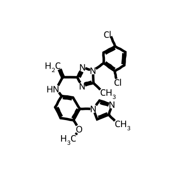 C=C(Nc1ccc(OC)c(-n2cnc(C)c2)c1)c1nc(C)n(-c2cc(Cl)ccc2Cl)n1